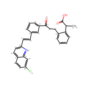 CC(C(=O)O)c1ccccc1CCC(=O)c1cccc(C=Cc2ccc3ccc(Cl)cc3n2)c1